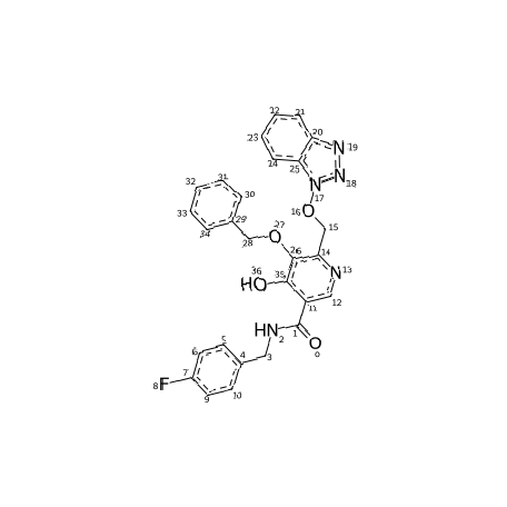 O=C(NCc1ccc(F)cc1)c1cnc(COn2nnc3ccccc32)c(OCc2ccccc2)c1O